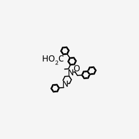 CC(c1cccc(-c2ccccc2C(=O)O)c1)N(C(=O)Cc1ccc2ccccc2c1)C1CCN(Cc2ccccc2)CC1